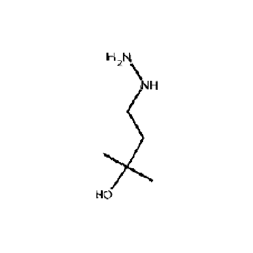 CC(C)(O)CCNN